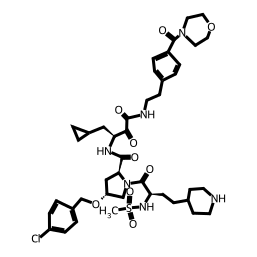 CS(=O)(=O)N[C@H](CCC1CCNCC1)C(=O)N1C[C@H](OCc2ccc(Cl)cc2)C[C@H]1C(=O)N[C@@H](CC1CC1)C(=O)C(=O)NCCc1ccc(C(=O)N2CCOCC2)cc1